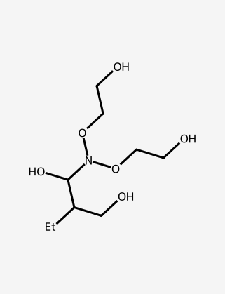 CCC(CO)C(O)N(OCCO)OCCO